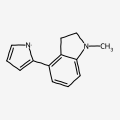 CN1CCc2c(C3=CC=C[N]3)cccc21